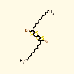 CCCCCCCCCCc1c(Br)sc2c1sc1c3sc(Br)c(CCCCCCCCCC)c3sc21